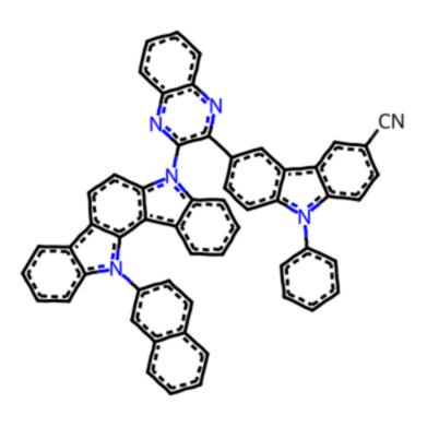 N#Cc1ccc2c(c1)c1cc(-c3nc4ccccc4nc3-n3c4ccccc4c4c3ccc3c5ccccc5n(-c5ccc6ccccc6c5)c34)ccc1n2-c1ccccc1